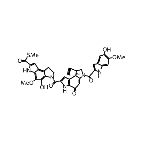 COc1cc2[nH]c(C(=O)N3CC4C#C[C@@]45C3=CC(=O)c3[nH]c(C(=O)N4CCc6c4c(O)c(OC)c4[nH]c(C(=O)SC)cc64)cc35)cc2cc1O